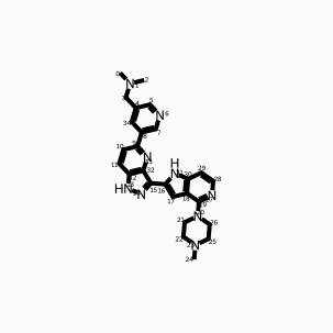 CN(C)Cc1cncc(-c2ccc3[nH]nc(-c4cc5c(N6CCN(C)CC6)nccc5[nH]4)c3n2)c1